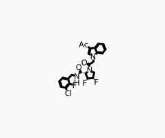 CC(=O)c1cn(CC(=O)N2C[C@H](F)[C@@H](F)[C@@H]2C(=O)NCc2cccc(Cl)c2F)c2ccccc12